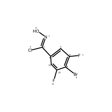 ON=C(Cl)c1cc(F)c(Br)c(F)c1